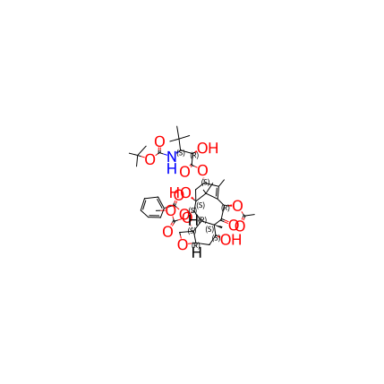 COC(=O)O[C@@]12CO[C@@H]1C[C@H](O)[C@@]1(C)C(=O)[C@H](OC(C)=O)C3=C(C)[C@@H](OC(=O)[C@H](O)[C@@H](NC(=O)OC(C)(C)C)C(C)(C)C)C[C@@](O)([C@@H](OC(=O)c4ccccc4)[C@H]21)C3(C)C